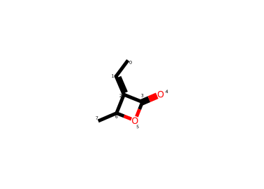 CC=C1C(=O)OC1C